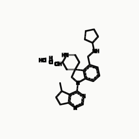 CC1CCc2ncnc(N3CC4(CCNCC4)c4c(CNC5CCCC5)cccc43)c21.Cl.Cl.Cl